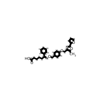 Cc1oc(-c2ccco2)nc1COc1ccc(CO/N=C(/CCCCC(=O)O)c2ccccc2)cc1